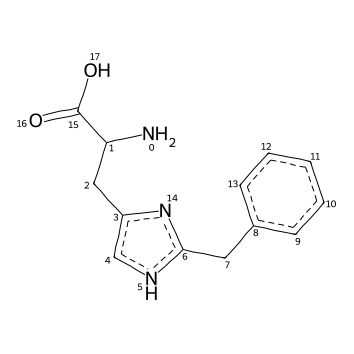 NC(Cc1c[nH]c(Cc2ccccc2)n1)C(=O)O